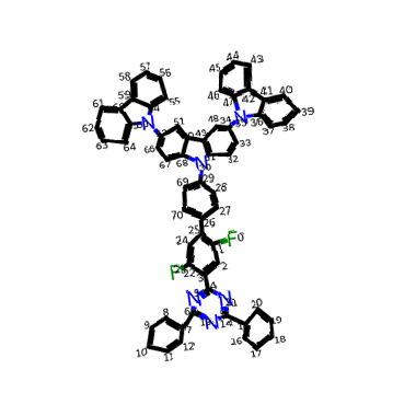 Fc1cc(-c2nc(-c3ccccc3)nc(-c3ccccc3)n2)c(F)cc1-c1ccc(-n2c3ccc(-n4c5ccccc5c5ccccc54)cc3c3cc(-n4c5ccccc5c5ccccc54)ccc32)cc1